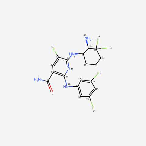 NC(=O)c1cc(F)c(N[C@@H]2CCCC(F)(F)[C@@H]2N)nc1Nc1cc(F)cc(F)c1